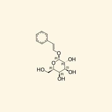 OC[C@H]1O[C@@H](OC=Cc2ccccc2)[C@H](O)[C@@H](O)[C@H]1O